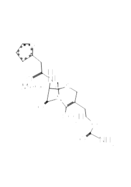 CO[C@@]1(NC(=O)Cc2cccs2)C(=O)N2C(C(=O)O)=C(CCOC(N)=O)CS[C@H]21